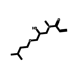 C=CC(=O)N(C)CC(O)COCCC(C)C